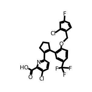 O=C(O)c1nc(C2=C(c3cc(C(F)(F)F)ccc3OCc3ccc(F)cc3Cl)CCC2)ccc1Cl